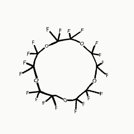 FC1(F)OC(F)(F)C(F)(F)OC(F)(F)C(F)(F)OC(F)(F)C(F)(F)OC(F)(F)C(F)(F)OC1(F)F